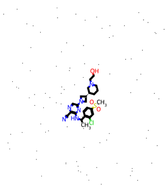 CC(Nc1nc(N2CC([C@H]3CCCN(CCO)C3)C2)cnc1C#N)c1ccc(S(C)(=O)=O)cc1Cl